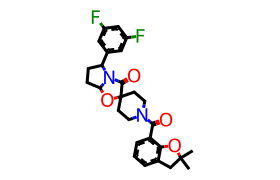 CC1(C)Cc2cccc(C(=O)N3CCC4(CC3)OC3CCC(c5cc(F)cc(F)c5)N3C4=O)c2O1